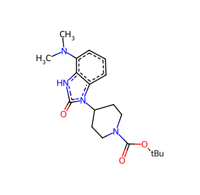 CN(C)c1cccc2c1[nH]c(=O)n2C1CCN(C(=O)OC(C)(C)C)CC1